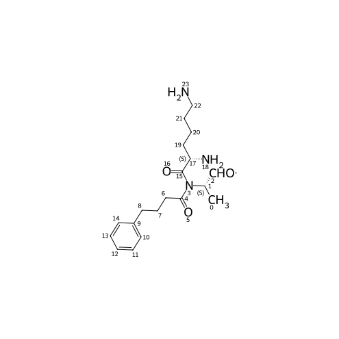 C[C@@H]([C]=O)N(C(=O)CCCc1ccccc1)C(=O)[C@@H](N)CCCCN